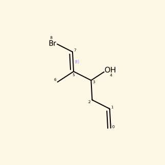 C=CCC(O)/C(C)=C/Br